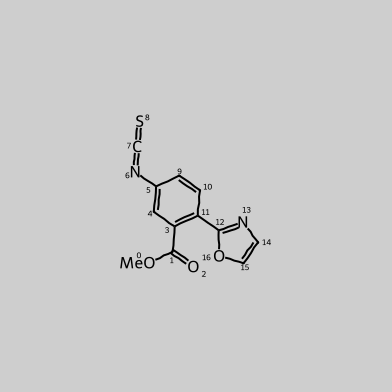 COC(=O)c1cc(N=C=S)ccc1-c1ncco1